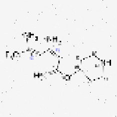 C=C(/C=C(N)\C=C(/N)C(F)(F)F)OC1CCNCC1